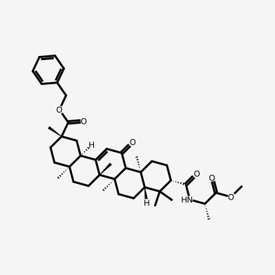 COC(=O)[C@H](C)NC(=O)[C@H]1CC[C@]2(C)C3C(=O)C=C4[C@@H]5C[C@@](C)(C(=O)OCc6ccccc6)CC[C@]5(C)CC[C@@]4(C)[C@]3(C)CC[C@H]2C1(C)C